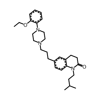 CCOc1ccccc1N1CCN(CCCc2ccc3c(c2)CCC(=O)N3CCC(C)C)CC1